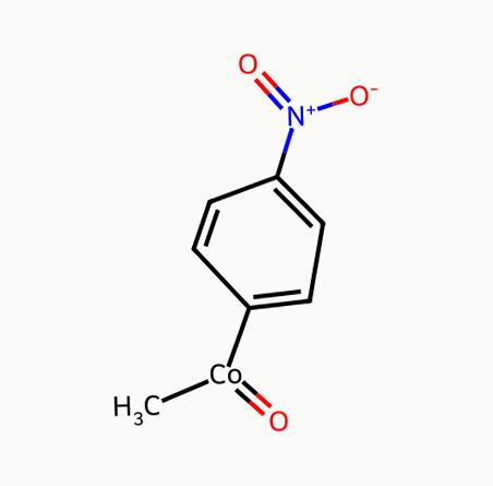 [CH3][Co](=[O])[c]1ccc([N+](=O)[O-])cc1